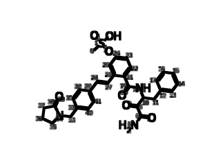 CS(=O)(=O)O.NC(=O)C(=O)C(Cc1ccccc1)NC(=O)c1ccccc1C=Cc1ccc(CN2CCCC2=O)cc1